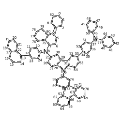 c1ccc(-c2ccc(N(c3ccc(-c4cccc5ccccc45)cc3)c3ccc4c(c3)c3cc(-c5ccc(N(c6ccccc6)c6ccccc6)cc5)ccc3n4-c3ccc4c5ccccc5c5ccccc5c4c3)c3ccccc23)cc1